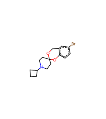 Brc1ccc2c(c1)COC1(CCN(C3CCC3)CC1)O2